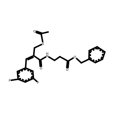 CC(=O)SC/C(=C/c1cc(F)cc(F)c1)C(=O)NCCC(=O)OCc1ccccc1